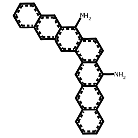 Nc1c2cc3ccccc3cc2cc2c1ccc1c(N)c3cc4ccccc4cc3cc12